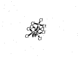 CC[PH](Cl)(Cl)[Ru]([Cl])([Cl])([PH](Cl)(Cl)CC)[PH](Cl)(Cl)CC